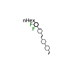 C=CC1CCC(C2CCC(/C=C/C3CC=C(c4ccc(CCCCCC)c(F)c4F)CC3)CC2)CC1